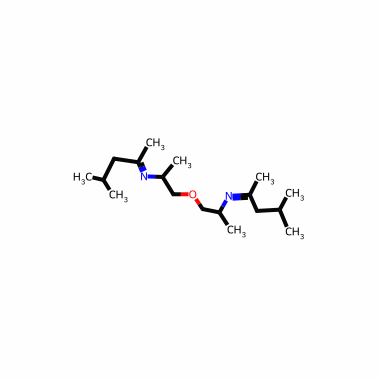 CC(CC(C)C)=NC(C)COCC(C)N=C(C)CC(C)C